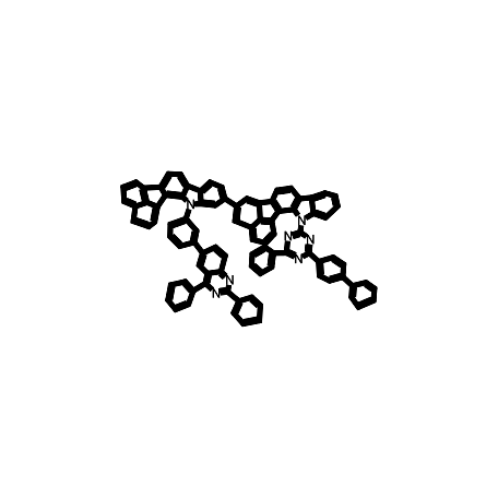 c1ccc(-c2ccc(-c3nc(-c4ccccc4)nc(-n4c5ccccc5c5ccc6c(c54)-c4cccc5cc(-c7ccc8c9ccc%10c(c9n(-c9cccc(-c%11ccc%12nc(-c%13ccccc%13)nc(-c%13ccccc%13)c%12c%11)c9)c8c7)-c7cccc8cccc-%10c78)cc-6c45)n3)cc2)cc1